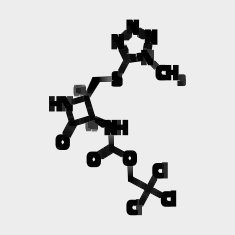 Cn1nnnc1SC[C@@H]1NC(=O)[C@@H]1NC(=O)OCC(Cl)(Cl)Cl